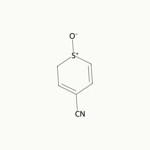 N#CC1=CC[S+]([O-])C=C1